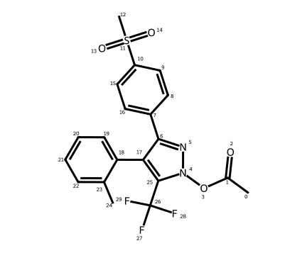 CC(=O)On1nc(-c2ccc(S(C)(=O)=O)cc2)c(-c2ccccc2C)c1C(F)(F)F